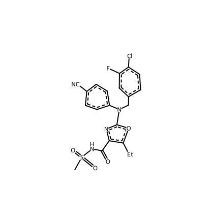 CCc1oc(N(Cc2ccc(Cl)c(F)c2)c2ccc(C#N)cc2)nc1C(=O)NS(C)(=O)=O